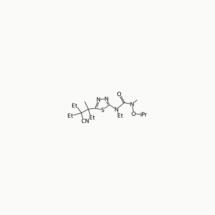 CCN(C(=O)N(C)OC(C)C)c1nnc(C(C)(CC)C(C#N)(CC)CC)s1